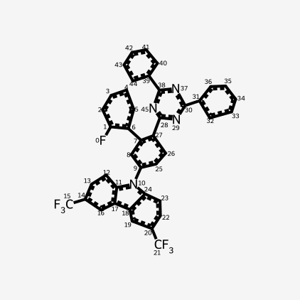 Fc1ccccc1-c1cc(-n2c3ccc(C(F)(F)F)cc3c3cc(C(F)(F)F)ccc32)ccc1-c1nc(-c2ccccc2)nc(-c2ccccc2)n1